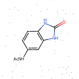 CC(=O)Nc1ccc2[nH]c(=O)[nH]c2c1